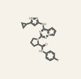 O=C(Nc1ccc(F)cc1)C1CCCN1c1nc(Nc2cc(C3CC3)[nH]n2)c2cccn2n1